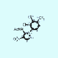 CC(=O)Nc1c([N+](=O)[O-])cnn1-c1ccc(C(F)(F)F)c(Cl)c1Cl